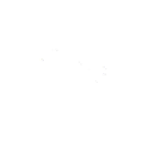 CN(C)CCNS(=O)(=O)c1cccc(NC(=O)Oc2cnn3c(C(F)(F)F)cc(-c4ccc(C(F)(F)F)cc4)nc23)c1